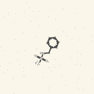 O=S(=O)(N[CH]c1ccccc1)C(F)(F)F